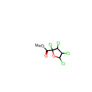 COC(=O)C1(Cl)OC(Cl)C(Cl)C1Cl